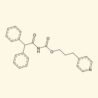 O=C(NC(=O)C(c1ccccc1)c1ccccc1)OCCCc1ccncc1